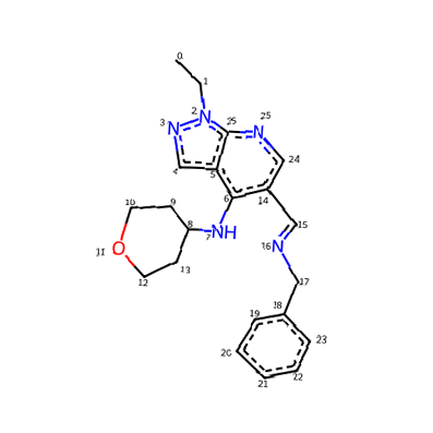 CCn1ncc2c(NC3CCOCC3)c(C=NCc3ccccc3)cnc21